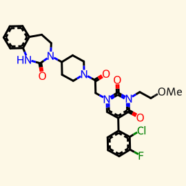 COCCn1c(=O)c(-c2cccc(F)c2Cl)cn(CC(=O)N2CCC(N3CCc4ccccc4NC3=O)CC2)c1=O